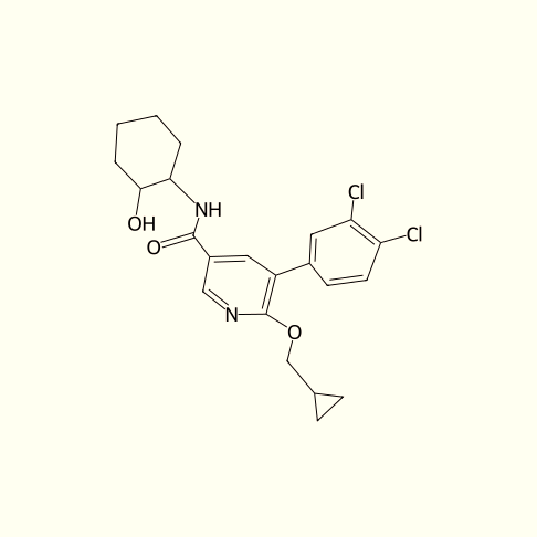 O=C(NC1CCCCC1O)c1cnc(OCC2CC2)c(-c2ccc(Cl)c(Cl)c2)c1